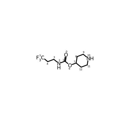 O=C(NCCC(F)(F)F)OC1CCNCC1